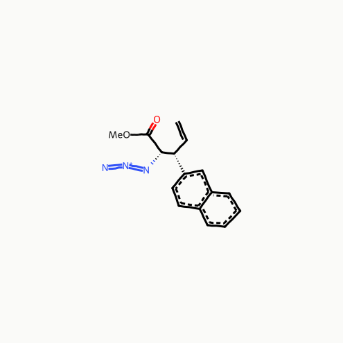 C=C[C@H](c1ccc2ccccc2c1)[C@H](N=[N+]=[N-])C(=O)OC